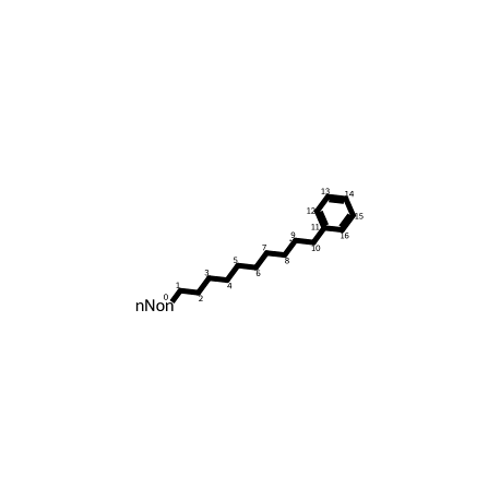 CCCCCCCCCCCCCCCCC[CH]Cc1ccccc1